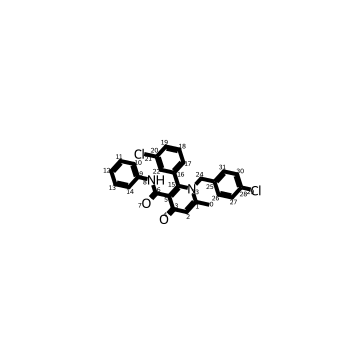 Cc1cc(=O)c(C(=O)Nc2ccccc2)c(-c2cccc(Cl)c2)n1Cc1ccc(Cl)cc1